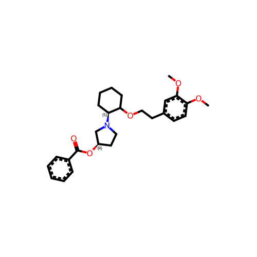 COc1ccc(CCOC2CCCC[C@@H]2N2CC[C@@H](OC(=O)c3ccccc3)C2)cc1OC